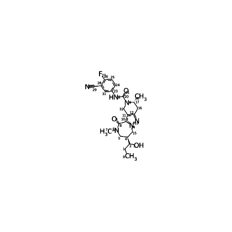 CCC(O)[C@H]1CN(C)C(=O)c2c3c(nn2C1)C[C@@H](C)N(C(=O)Nc1ccc(F)c(C#N)c1)C3